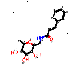 CC1OC(CNC(=O)/C=C/C2C=CC=CC2)[C@H](O)[C@@H](O)[C@@H]1O